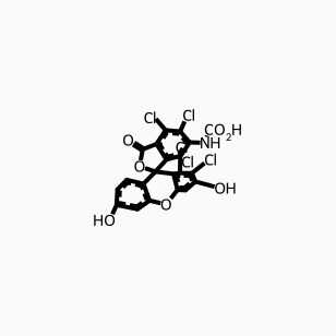 O=C(O)Nc1c(Cl)c(Cl)c2c(c1Cl)C1(OC2=O)c2ccc(O)cc2Oc2cc(O)c(Cl)c(Cl)c21